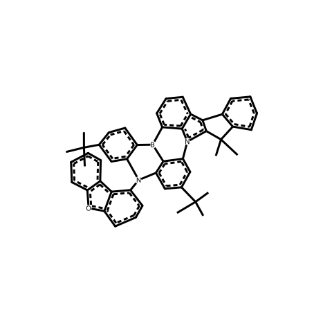 CC(C)(C)c1ccc2c(c1)N(c1cccc3oc4ccccc4c13)c1cc(C(C)(C)C)cc3c1B2c1cccc2c4c(n-3c12)C(C)(C)c1ccccc1-4